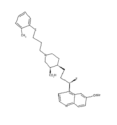 COc1ccc2nccc([C@H](F)CC[C@@H]3CCN(CCCSc4ccccc4C)C[C@@H]3C(=O)O)c2c1